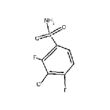 NS(=O)(=O)c1ccc(F)c(Cl)c1F